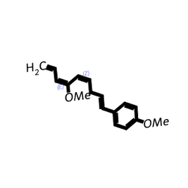 C=C/C=C(\C=C/CC=Cc1ccc(OC)cc1)OC